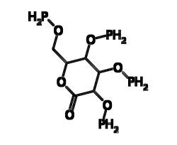 O=C1OC(COP)C(OP)C(OP)C1OP